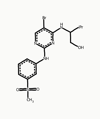 CC(C)C(CO)Nc1nc(Nc2cccc(S(C)(=O)=O)c2)ncc1Br